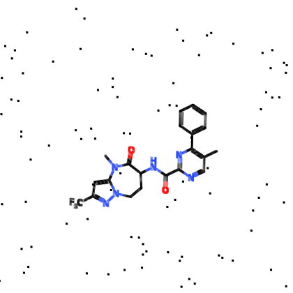 Cc1cnc(C(=O)NC2CCn3nc(C(F)(F)F)cc3N(C)C2=O)nc1-c1ccccc1